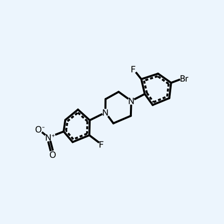 O=[N+]([O-])c1ccc(N2CCN(c3ccc(Br)cc3F)CC2)c(F)c1